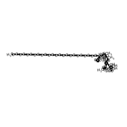 COCCOCCOCCOCCOCCOCCOCCOCCOCCOCCOCCOCCOCCOCCOCCOCCOCCOCCOCCOCCOCCOCCOCCOCCN(CCC(=O)N[C@H](C(=O)N[C@@H](C)C(=O)Nc1ccc(COC(=O)C(C)(C)C)c(CC[C@@H]2O[C@H](C(=O)O)[C@@H](O)[C@H](O)[C@H]2O)c1)C(C)C)C(O)CN1C(=O)C=CC1=O